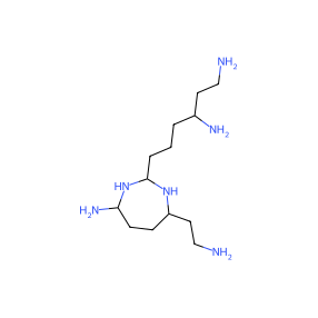 NCCC(N)CCCC1NC(N)CCC(CCN)N1